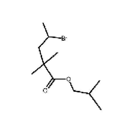 CC(C)COC(=O)C(C)(C)CC(C)Br